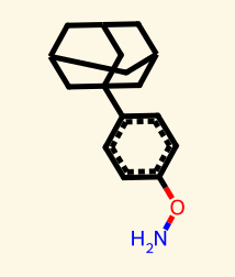 NOc1ccc(C23CC4CC(CC(C4)C2)C3)cc1